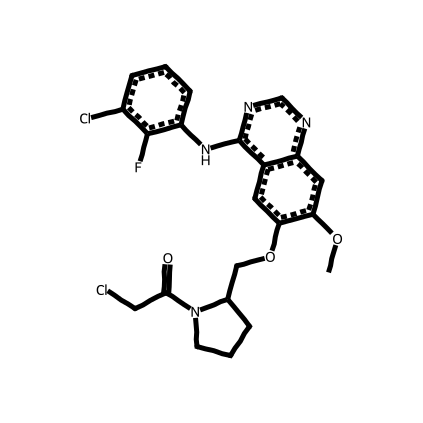 COc1cc2ncnc(Nc3cccc(Cl)c3F)c2cc1OCC1CCCN1C(=O)CCl